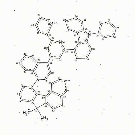 CC1(C)c2cccc(-c3ccc(-c4cc(-c5cccc6c5c5ccccc5n6-c5ccccc5)nc(-c5ccccc5)n4)c4ccccc34)c2-c2c1ccc1ccccc21